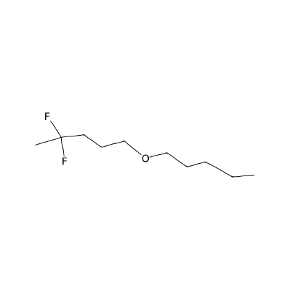 CCCCCOCCCC(C)(F)F